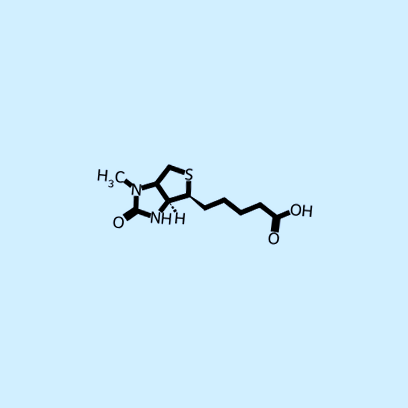 CN1C(=O)N[C@H]2C1CS[C@H]2CCCCC(=O)O